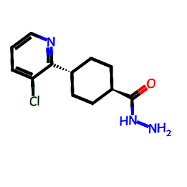 NNC(=O)[C@H]1CC[C@H](c2ncccc2Cl)CC1